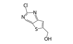 OCc1cc2nc(Cl)ncc2s1